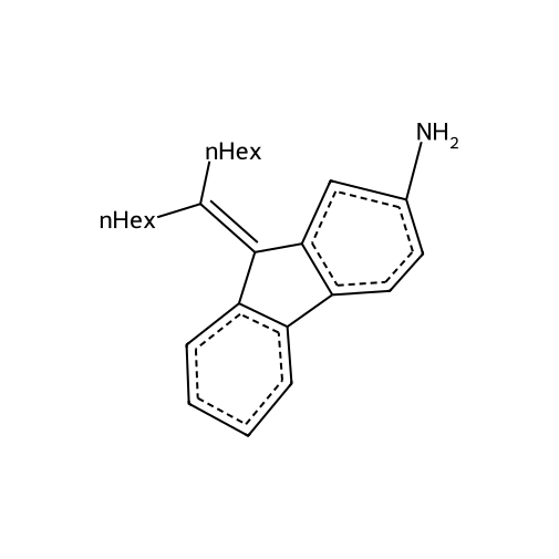 CCCCCCC(CCCCCC)=C1c2ccccc2-c2ccc(N)cc21